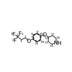 FC(F)(F)CCOc1ccc(OC2CCNCC2)cc1